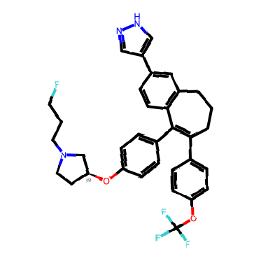 FCCCN1CC[C@H](Oc2ccc(C3=C(c4ccc(OC(F)(F)F)cc4)CCCc4cc(-c5cn[nH]c5)ccc43)cc2)C1